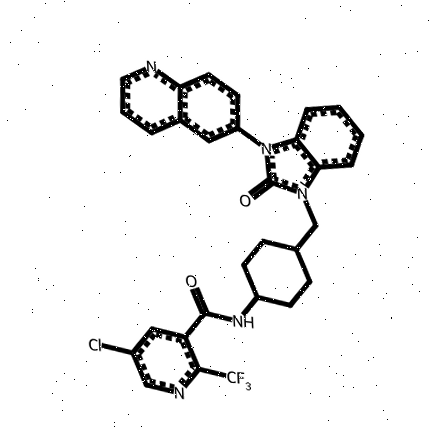 O=C(NC1CCC(Cn2c(=O)n(-c3ccc4ncccc4c3)c3ccccc32)CC1)c1cc(Cl)cnc1C(F)(F)F